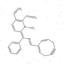 C=CC1=C(C=C)N(C)/C(=C(\N=C\C2=CCC#CC/C=C\2)c2ccccc2)C=C1